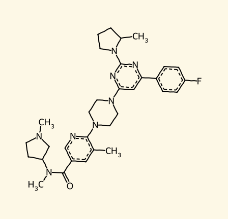 Cc1cc(C(=O)N(C)C2CCN(C)C2)cnc1N1CCN(c2cc(-c3ccc(F)cc3)nc(N3CCCC3C)n2)CC1